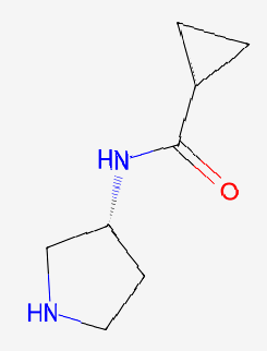 O=C(N[C@@H]1CCNC1)C1CC1